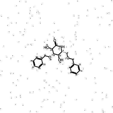 O=C1N[C@H](COCc2ccccc2)[C@@H](O)[C@H](OCc2ccccc2)[C@H]1O